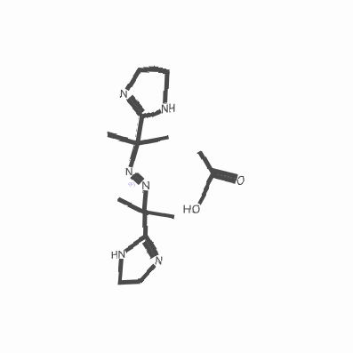 CC(=O)O.CC(C)(/N=N/C(C)(C)C1=NCCN1)C1=NCCN1